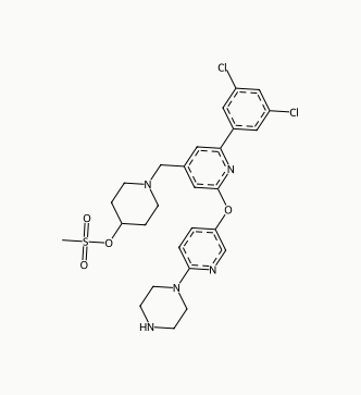 CS(=O)(=O)OC1CCN(Cc2cc(Oc3ccc(N4CCNCC4)nc3)nc(-c3cc(Cl)cc(Cl)c3)c2)CC1